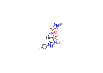 CC(C)n1ncc(S(=O)(=O)N2CC[C@H]3Cc4c(cnn4-c4ccc(F)cc4)C[C@]3(C(=O)c3cscn3)C2)n1